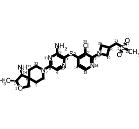 C[C@@H]1OCC2(CCN(c3cnc(Sc4ccnc(N5CC(CS(C)(=O)=O)C5)c4Cl)c(N)n3)CC2)[C@@H]1N